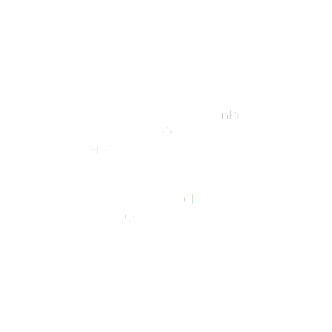 CCCCOC(C)C(=O)Cl